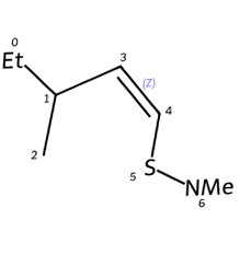 CCC(C)/C=C\SNC